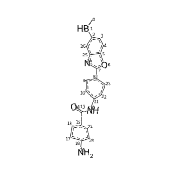 CBc1ccc2oc(-c3ccc(NC(=O)c4ccc(N)cc4)cc3)nc2c1